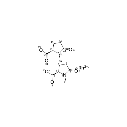 CN1C(=O)CC[C@@H]1C(=O)[O-].CN1C(=O)CC[C@@H]1C(=O)[O-].[Rh+2]